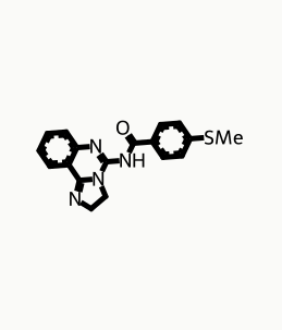 CSc1ccc(C(=O)NC2=Nc3ccccc3C3=NCCN23)cc1